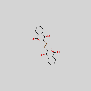 O=C(O)C1CCCCC1C(=O)CSSCC(=O)[C@@H]1CCCC[C@H]1C(=O)O